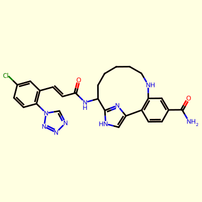 NC(=O)c1ccc2c(c1)NCCCCCC(NC(=O)/C=C/c1cc(Cl)ccc1-n1cnnn1)c1nc-2c[nH]1